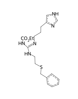 CCOC(=O)NC(=NCCCc1c[nH]cn1)NCCSCc1ccccc1